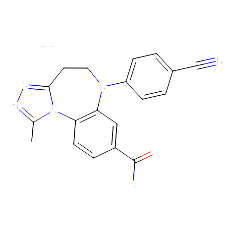 Cc1nnc2n1-c1ccc(C(N)=O)cc1N(c1ccc(C#N)cc1)C[C@H]2C